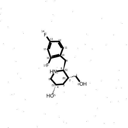 OC[C@@H]1C[C@H](O)CN[C@H]1Cc1ccc(F)cc1F